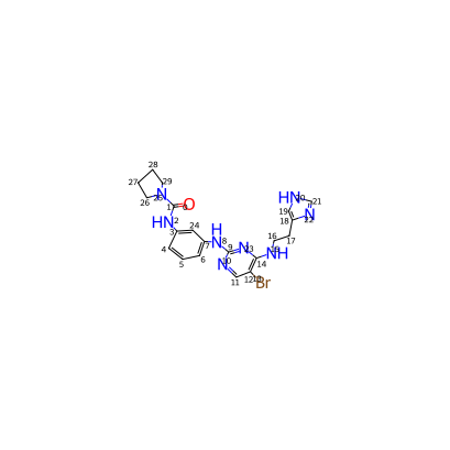 O=C(Nc1cccc(Nc2ncc(Br)c(NCCc3c[nH]cn3)n2)c1)N1CCCC1